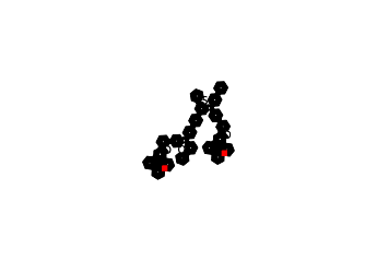 c1ccc(-c2ccc(N(c3ccc(-c4ccc5oc6cc7c(cc6c5c4)-c4ccccc4C7(c4ccccc4)c4ccccc4)cc3)c3cc(-c4ccc(-c5ccc(N(c6ccc(-c7cccc8c7oc7cc9c(cc78)-c7ccccc7C9(c7ccccc7)c7ccccc7)cc6)c6cccc7c6oc6ccccc67)cc5)cc4)cc4c3sc3ccccc34)cc2)cc1